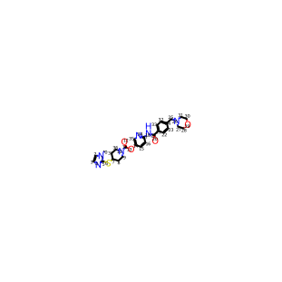 Cn1ccnc1SC1CCN(C(=O)Oc2ccc(NC(=O)c3ccc(CN4CCOCC4)cc3)nc2)CC1